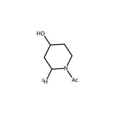 [2H]C1CC(O)CCN1C(C)=O